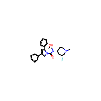 CN1CC[C@@H](N(C)C(=O)N2CC(c3ccccc3)=C[C@@]2(CO)c2ccccc2)C[C@H](F)C1